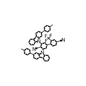 Cc1ccc(-c2ccc3c4ccccc4n(-c4cc(-c5ccc(C#N)cc5C(F)(F)F)cc(-n5c6ccccc6c6ccc(-c7ccc(C)cc7)cc65)c4C#N)c3c2)cc1